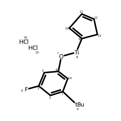 CC(C)(C)c1cc(F)cc([O][Ti][C]2=CC=CC2)c1.Cl.Cl